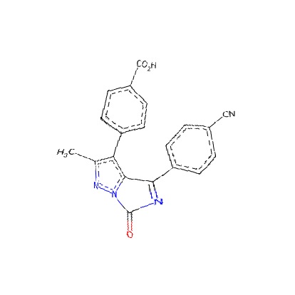 Cc1nn2c(c1-c1ccc(C(=O)O)cc1)C(c1ccc(C#N)cc1)=NC2=O